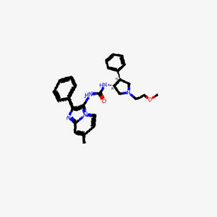 COCCN1C[C@H](NC(=O)Nc2c(-c3ccccc3)nc3cc(C)ccn23)[C@@H](c2ccccc2)C1